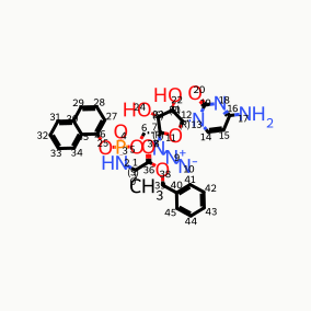 C[C@H](NP(=O)(OC[C@@]1(N=[N+]=[N-])O[C@@H](n2ccc(N)nc2=O)[C@H](O)[C@@H]1O)Oc1cccc2ccccc12)C(=O)OCc1ccccc1